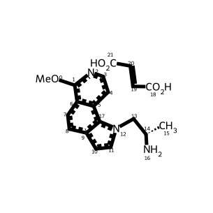 COc1nccc2c1ccc1ccn(C[C@H](C)N)c12.O=C(O)C=CC(=O)O